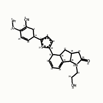 CC(C)OC1=C(C#N)CC(c2ccc(C3C=CC=C4C3CC3CC(=O)N(CCO)C43)s2)C=C1